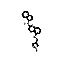 Cn1cc(CNc2cccc3nc(N[C@@H]4CCc5ccccc54)ccc23)cn1